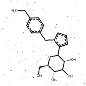 CCc1ccc(Cn2cccc2C2O[C@H](CO)[C@@H](O)C(O)[C@H]2O)cc1